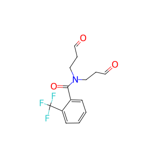 O=CCCN(CCC=O)C(=O)c1ccccc1C(F)(F)F